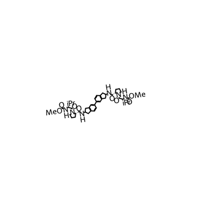 COC(=O)N[C@H](C(=O)N1CCC[C@H]1C(=O)NC1Cc2ccc(-c3ccc4c(c3)CC(NC(=O)[C@@H]3CCCN3C(=O)[C@@H](NC(=O)OC)C(C)C)C4)cc2C1)C(C)C